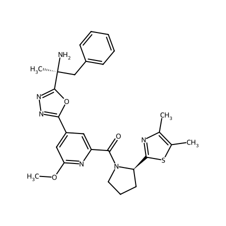 COc1cc(-c2nnc([C@@](C)(N)Cc3ccccc3)o2)cc(C(=O)N2CCC[C@@H]2c2nc(C)c(C)s2)n1